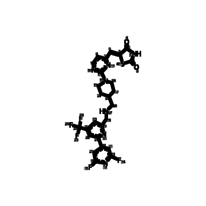 O=C1NC(=O)C(=Cc2ccnc(N3CCC(CNCc4cc(C(F)(F)F)cc(-c5cc(F)nc(F)c5)n4)CC3)n2)S1